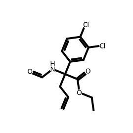 C=CCC(NC=O)(C(=O)OCC)c1ccc(Cl)c(Cl)c1